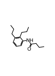 CCCC(=O)Nc1cccc(CCC)c1CCC